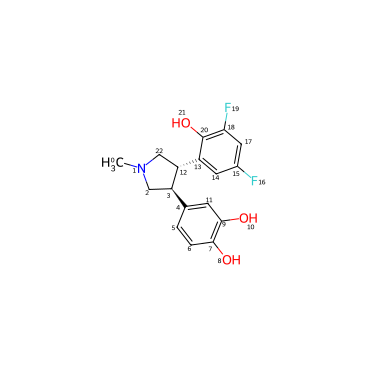 CN1C[C@H](c2ccc(O)c(O)c2)[C@@H](c2cc(F)cc(F)c2O)C1